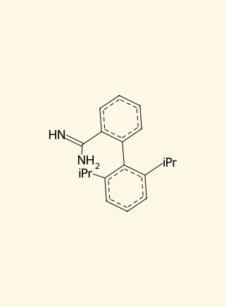 CC(C)c1cccc(C(C)C)c1-c1ccccc1C(=N)N